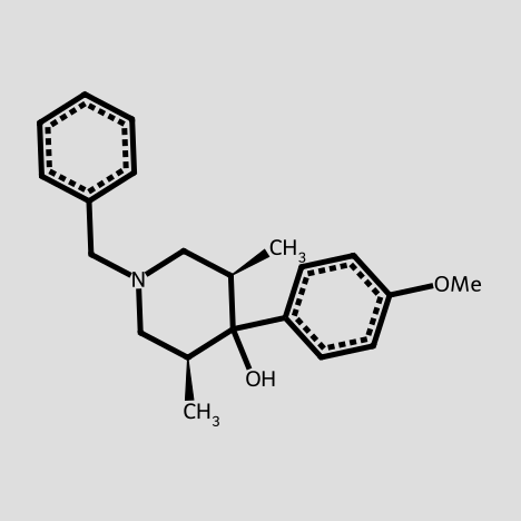 COc1ccc(C2(O)[C@H](C)CN(Cc3ccccc3)C[C@@H]2C)cc1